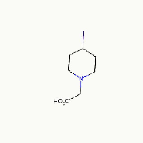 O=C(O)CN1CCC(I)CC1